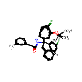 CCC[C@@](C)(Oc1cc(C(Cc2ccccc2)(NC(=O)c2cccc(C(F)(F)F)c2)c2cc(F)cc(C(F)(F)F)c2)ccc1F)C(=O)O